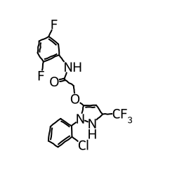 O=C(COC1=CC(C(F)(F)F)NN1c1ccccc1Cl)Nc1cc(F)ccc1F